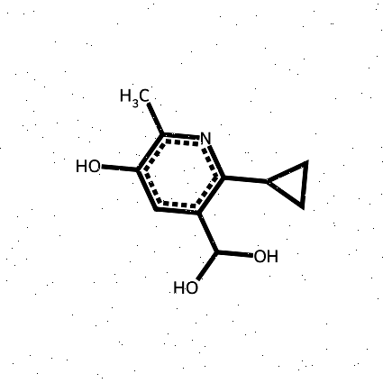 Cc1nc(C2CC2)c(C(O)O)cc1O